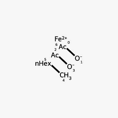 CC(=O)[O-].CC(=O)[O-].CCCCCCC.[Fe+2]